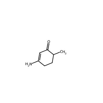 CC1CCC(N)=CC1=O